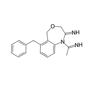 CC(=N)N1C(=N)COCc2c(Cc3ccccc3)cccc21